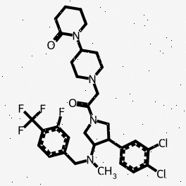 CN(Cc1ccc(C(F)(F)F)c(F)c1)C1CN(C(=O)CN2CCC(N3CCCCC3=O)CC2)CC1c1ccc(Cl)c(Cl)c1